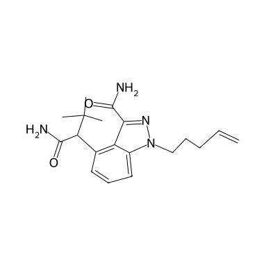 C=CCCCn1nc(C(N)=O)c2c(C(C(N)=O)C(C)(C)C)cccc21